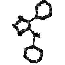 c1ccc(Nc2nnoc2-c2ccccc2)cc1